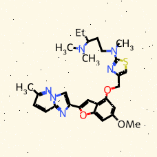 CCC(CCN(C)c1nc(COc2cc(OC)cc3oc(-c4cn5nc(C)ccc5n4)cc23)cs1)N(C)C